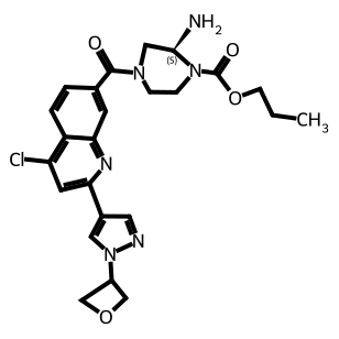 CCCOC(=O)N1CCN(C(=O)c2ccc3c(Cl)cc(-c4cnn(C5COC5)c4)nc3c2)C[C@H]1N